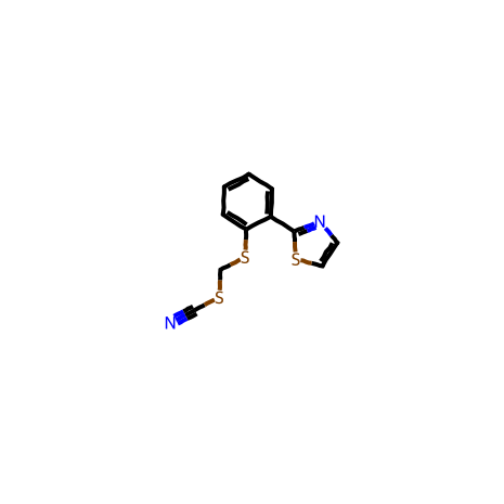 N#CSCSc1ccccc1-c1nccs1